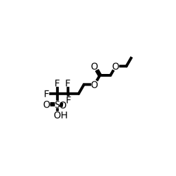 CCOCC(=O)OCCC(F)(F)C(F)(F)S(=O)(=O)O